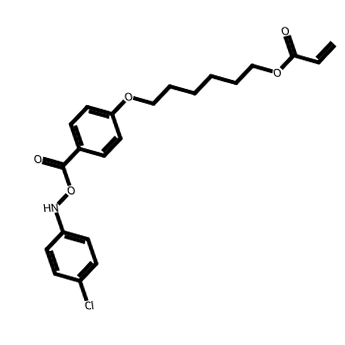 C=CC(=O)OCCCCCCOc1ccc(C(=O)ONc2ccc(Cl)cc2)cc1